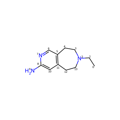 CCN1CCc2cnc(N)cc2CC1